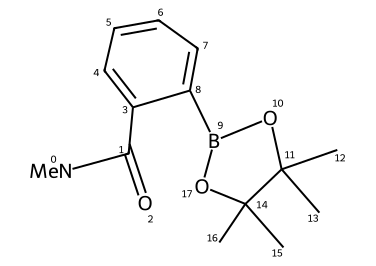 CNC(=O)c1ccccc1B1OC(C)(C)C(C)(C)O1